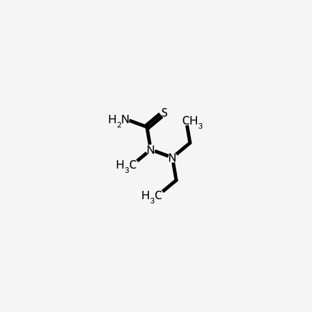 CCN(CC)N(C)C(N)=S